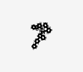 c1ccc(-c2ccc(-c3ccc(-c4nc(-c5ccccc5-c5ccccc5)nc(-c5cccc6c5oc5ccccc56)n4)c4ccccc34)cc2)cc1